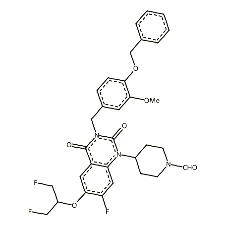 COc1cc(Cn2c(=O)c3cc(OC(CF)CF)c(F)cc3n(C3CCN(C=O)CC3)c2=O)ccc1OCc1ccccc1